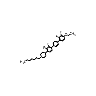 CCCCCCCC1CCC(c2ccc(-c3ccc(-c4ccc(OCC)c(F)c4F)cc3)c(F)c2F)CC1